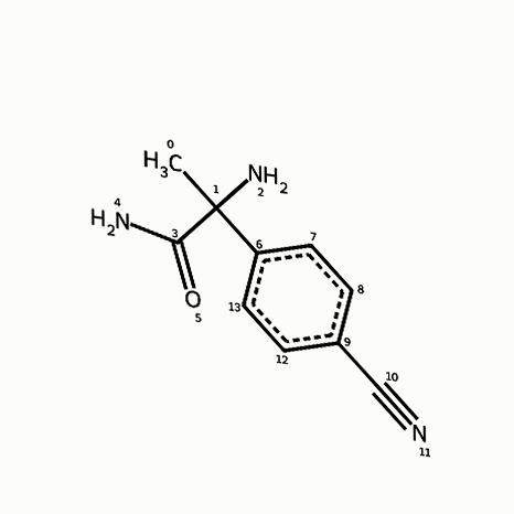 CC(N)(C(N)=O)c1ccc(C#N)cc1